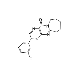 O=c1c2ncc(-c3cccc(F)c3)cc2nc2n1CCCCC2